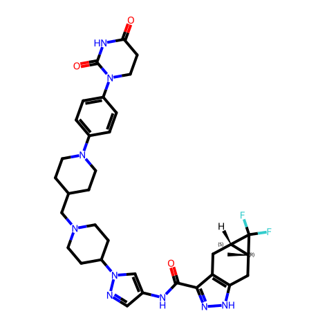 C[C@@]12Cc3[nH]nc(C(=O)Nc4cnn(C5CCN(CC6CCN(c7ccc(N8CCC(=O)NC8=O)cc7)CC6)CC5)c4)c3C[C@@H]1C2(F)F